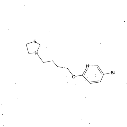 Brc1ccc(OCCCCN2CCSC2)nc1